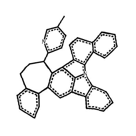 Cc1ccc(C2CCc3ccccc3-c3cc4c5ccccc5n5c6c7ccccc7ccc6c(c32)c45)nc1